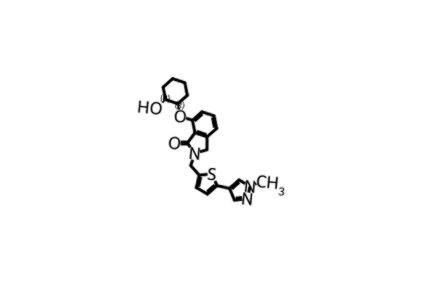 Cn1cc(-c2ccc(CN3Cc4cccc(O[C@@H]5CCCC[C@H]5O)c4C3=O)s2)cn1